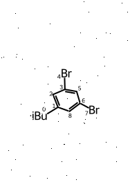 CC[C](C)c1cc(Br)cc(Br)c1